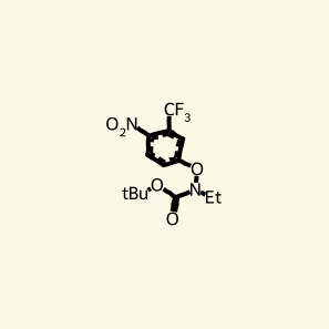 CCN(Oc1ccc([N+](=O)[O-])c(C(F)(F)F)c1)C(=O)OC(C)(C)C